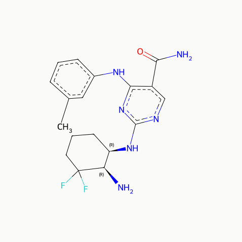 Cc1cccc(Nc2nc(N[C@@H]3CCCC(F)(F)[C@@H]3N)ncc2C(N)=O)c1